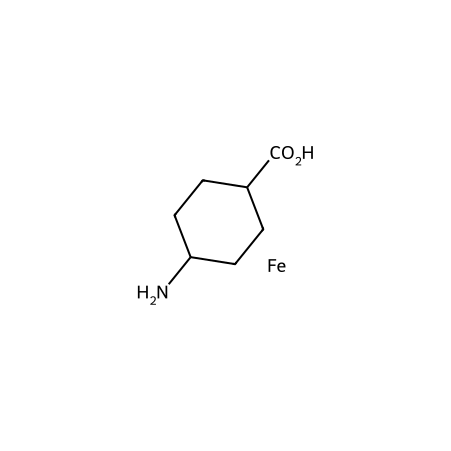 NC1CCC(C(=O)O)CC1.[Fe]